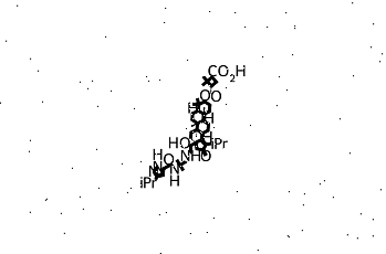 CC(C)C1=C2[C@H]3CC[C@@H]4[C@@]5(C)CC[C@H](OC(=O)[C@H]6C[C@@H](C(=O)O)C6(C)C)C(C)(C)[C@@H]5CC[C@@]4(C)[C@]3(C)CC[C@@]2([C@@H](O)CNCC(C)(C)NC(=O)c2cc(C(C)C)n[nH]2)CC1=O